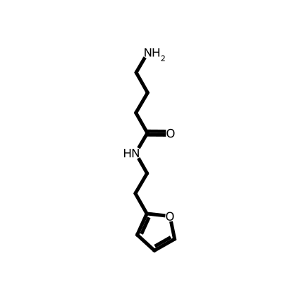 NCCCC(=O)NCCc1ccco1